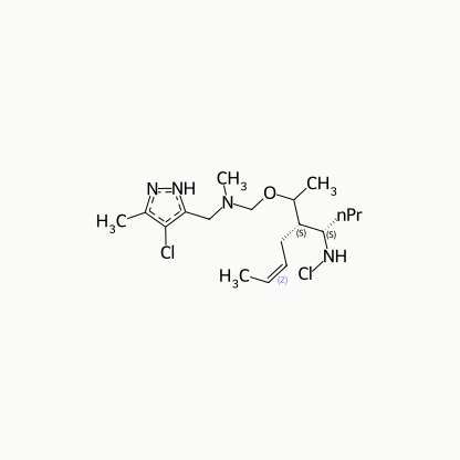 C/C=C\C[C@H](C(C)OCN(C)Cc1[nH]nc(C)c1Cl)[C@H](CCC)NCl